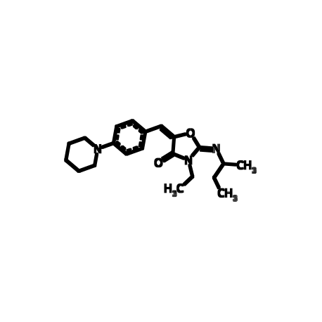 CCC(C)/N=C1/O/C(=C/c2ccc(N3CCCCC3)cc2)C(=O)N1CC